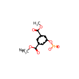 COC(=O)c1cc(O[PH](=O)[O-])cc(C(=O)OC)c1.[Na+]